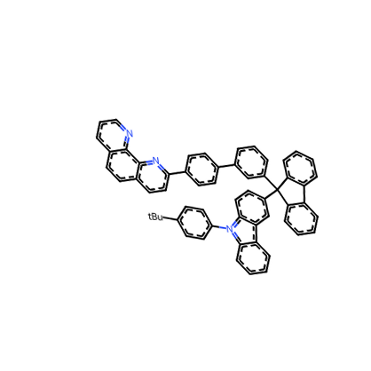 CC(C)(C)c1ccc(-n2c3ccccc3c3cc(C4(c5cccc(-c6ccc(-c7ccc8ccc9cccnc9c8n7)cc6)c5)c5ccccc5-c5ccccc54)ccc32)cc1